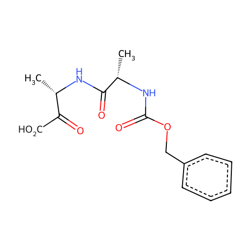 C[C@H](NC(=O)OCc1ccccc1)C(=O)N[C@@H](C)C(=O)C(=O)O